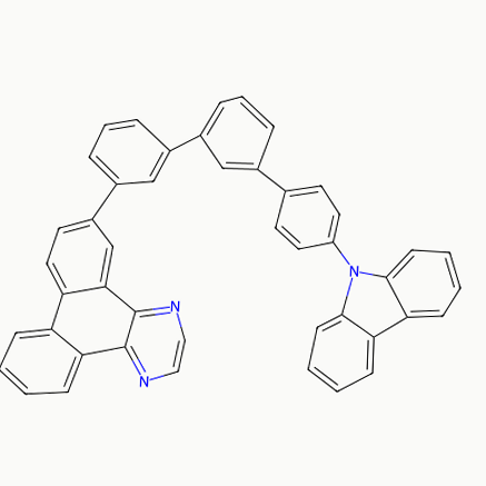 c1cc(-c2ccc(-n3c4ccccc4c4ccccc43)cc2)cc(-c2cccc(-c3ccc4c5ccccc5c5nccnc5c4c3)c2)c1